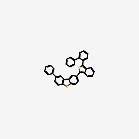 c1ccc(-c2ccc3sc4ccc(-c5sc(-c6ccccc6-c6ccccc6)c6ccccc56)cc4c3c2)cc1